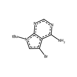 CC(C)(C)n1cc(Br)c2c(N)ncnc21